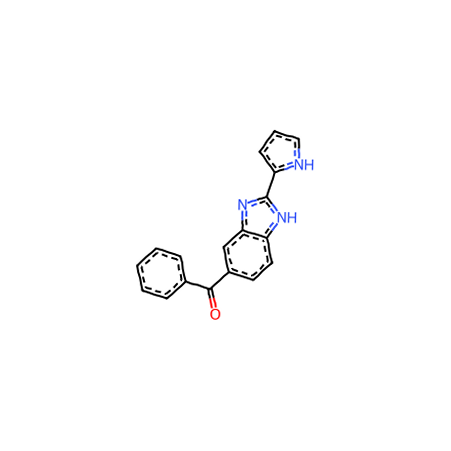 O=C(c1ccccc1)c1ccc2[nH]c(-c3ccc[nH]3)nc2c1